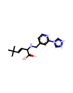 CC(C)(C)/C=C/C(NCc1ccnc(-n2cnnc2)c1)C(=O)O